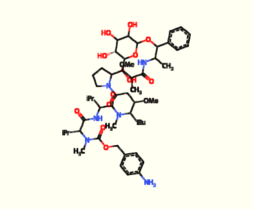 CCC(C)C(C(CC(=O)N1CCCC1C(OC)C(C)C(=O)NC(C)C(OC1OC(CO)[C@H](O)C(O)C1O)c1ccccc1)OC)N(C)C(=O)C(NC(=O)C(C(C)C)N(C)C(=O)OCc1ccc(N)cc1)C(C)C